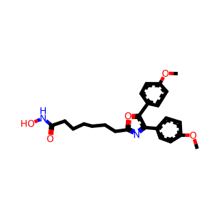 COc1ccc(-c2nc(CCCCCCC(=O)NO)oc2-c2ccc(OC)cc2)cc1